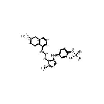 Cn1ncc(Nc2ccc(O[Si](C)(C)C(C)(C)C)cc2)c1CCOc1cccc2c1CCN(C(=O)O)C2